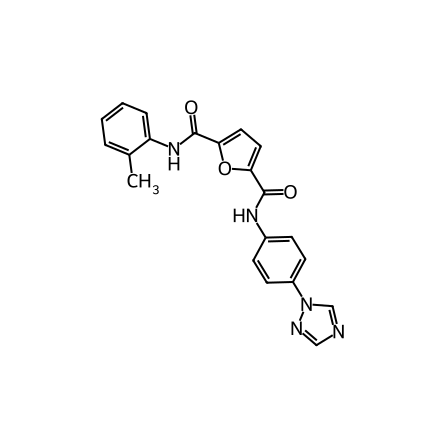 Cc1ccccc1NC(=O)c1ccc(C(=O)Nc2ccc(-n3cncn3)cc2)o1